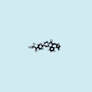 Cc1csc(C=C(C(=O)N2CCN(c3ncc(C(=O)NO)cn3)CC2)c2ccccc2)c1